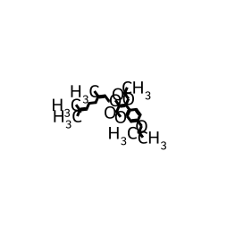 CC(=O)Oc1c(OCC=C(C)CCC=C(C)C)c(=O)oc2cc(OC(C)C)ccc12